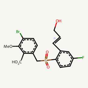 COc1c(Br)ccc(CS(=O)(=O)c2ccc(F)cc2/C=C/CO)c1C(=O)O